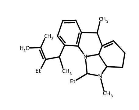 CCC(=C(C)C)C(C)c1cccc2c1N1C3C(=CCCC3N(C)C1CC)C2C